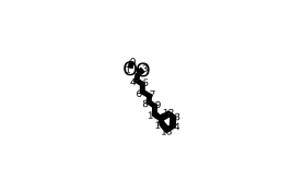 COC(=O)CCCCCCCc1ccccc1